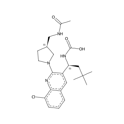 CC(=O)NC[C@@H]1CCN(c2nc3c(Cl)cccc3cc2[C@H](CC(C)(C)C)NC(=O)O)C1